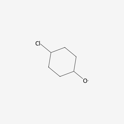 [O]C1CCC(Cl)CC1